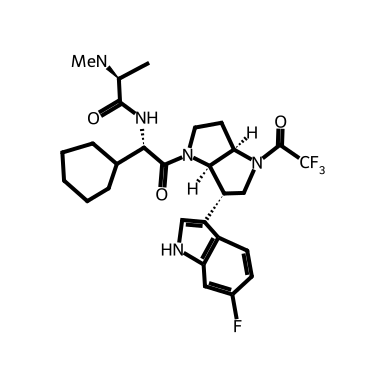 CN[C@@H](C)C(=O)N[C@H](C(=O)N1CC[C@@H]2[C@H]1[C@@H](c1c[nH]c3cc(F)ccc13)CN2C(=O)C(F)(F)F)C1CCCCC1